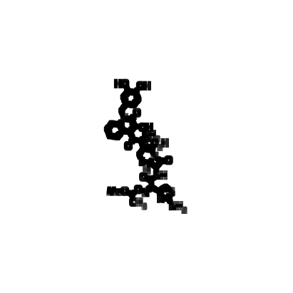 COC(C)O/N=C(\C(=O)NC1C(=O)N2C(C(=O)O)=C(C(N)C(=O)c3c(O)c(=O)n(Cc4ccc(O)c(O)c4)c4ccccc34)CS[C@H]12)c1csc(N)n1